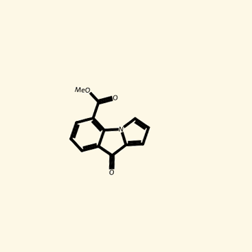 COC(=O)c1cccc2c1-n1cccc1C2=O